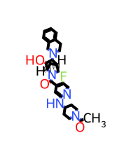 CC(=O)N1CCC(Nc2cc(C(=O)N3C[C@H]4C[C@@H]3C(O)C4N3CCc4ccccc4C3)c(F)cn2)CC1